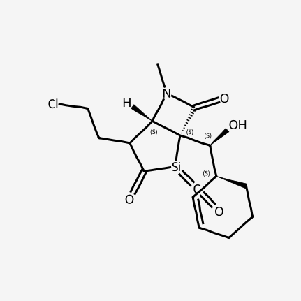 CN1C(=O)[C@@]2([C@@H](O)[C@@H]3C=CCCC3)[C@@H]1C(CCCl)C(=O)[Si]2=C=O